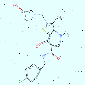 Cc1c(CN2CC[C@@H](O)C2)sc2c(=O)c(C(=O)NCc3ccc(Cl)cc3)cn(C)c12